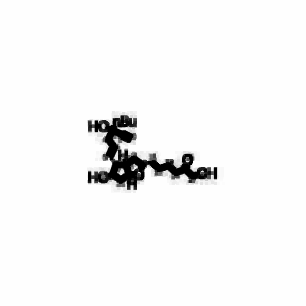 C#CC(O)(CC=C[C@@H]1[C@H]2C[C@H](CCCCC(=O)CO)O[C@@H]2C[C@H]1O)CCCC